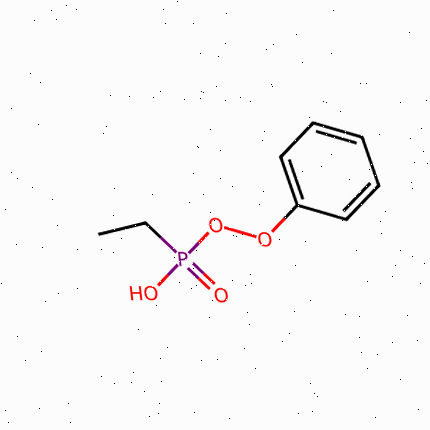 CCP(=O)(O)OOc1ccccc1